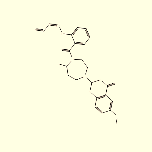 COc1ccc2c(c1)C(=O)NC(N1CCC(C)N(C(=O)c3ccccc3N/N=C\C=N)CC1)N2